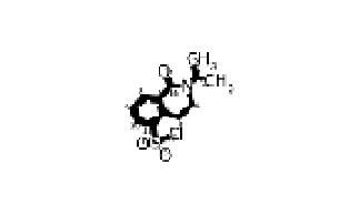 CC(C)N1CCc2c(cccc2S(=O)(=O)Cl)C1=O